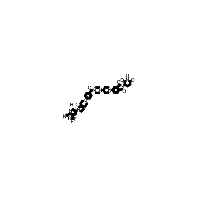 CC1N(c2cnc(C#N)c(C(F)(F)F)c2)CCC12CCN(c1ccc(C(=O)N3CCN(C4CCN(c5ccc6c(c5)C(=O)N(C5CCC(=O)NC5=O)C6=O)CC4)CC3)cc1)CC2